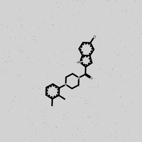 Cc1cccc(N2CCN(C(=O)c3cc4cc(Cl)ccc4[nH]3)CC2)c1C